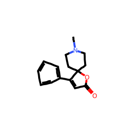 CN1CCC2(CC1)OC(=O)C=C2c1ccccc1